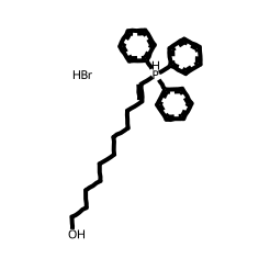 Br.OCCCCCCCCCC=C[PH](c1ccccc1)(c1ccccc1)c1ccccc1